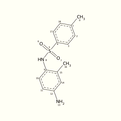 Cc1ccc(S(=O)(=O)Nc2ccc(N)cc2C)cc1